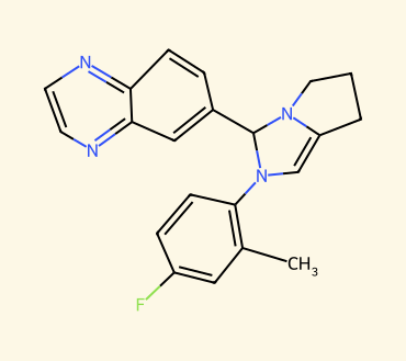 Cc1cc(F)ccc1N1C=C2CCCN2C1c1ccc2nccnc2c1